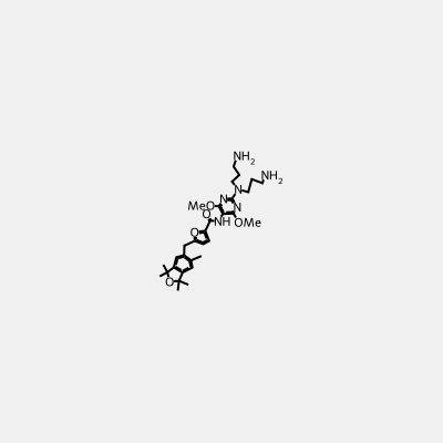 COc1nc(N(CCCN)CCCN)nc(OC)c1NC(=O)c1ccc(Cc2cc3c(cc2C)C(C)(C)OC3(C)C)o1